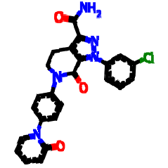 NC(=O)c1nn(-c2cccc(Cl)c2)c2c1CCN(c1ccc(-n3ccccc3=O)cc1)C2=O